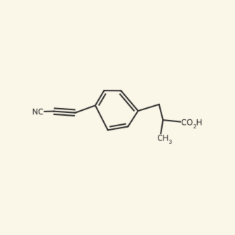 CC(Cc1ccc(C#CC#N)cc1)C(=O)O